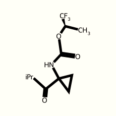 CC(C)C(=O)C1(NC(=O)O[C@H](C)C(F)(F)F)CC1